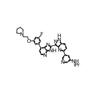 CC(C)Nc1cncc(-c2ccc3[nH]nc(-c4nc5c(-c6cc(F)cc(OCCN7CCCC7)c6)ccnc5[nH]4)c3n2)c1